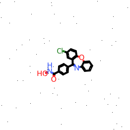 O=C(NO)c1ccc(C2=Nc3ccccc3Oc3ccc(Cl)cc32)cc1